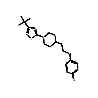 CC(C)(C)c1noc(N2CCC(CCOc3cnc(Cl)nc3)CC2)n1